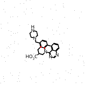 O=C(O)C1CCCN(c2ncnc3cccc(-c4ccc(CN5CCNCC5)cc4)c23)C1